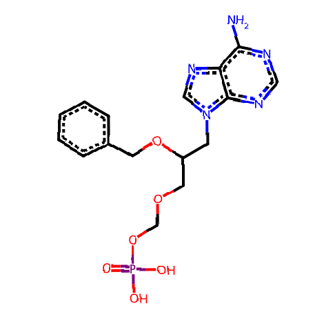 Nc1ncnc2c1ncn2CC(COCOP(=O)(O)O)OCc1ccccc1